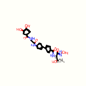 C[C@@H](O)[C@H](NC(=O)c1ccc(-c2ccc(NC(=O)CNC(=O)c3ccc(O)c(O)c3)cc2)cc1)C(=O)NO